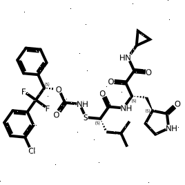 CC(C)C[C@H](SNC(=O)O[C@@H](c1ccccc1)C(F)(F)c1cccc(Cl)c1)C(=O)N[C@@H](C[C@@H]1CCNC1=O)C(=O)C(=O)NC1CC1